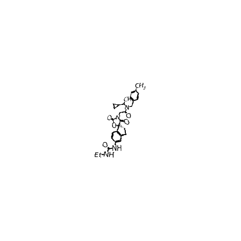 CCNC(=O)Nc1ccc2c(c1)CC[C@@]21OC(=O)N(CC(=O)N(Cc2ccc(C)cc2)C(C)C2CC2)C1=O